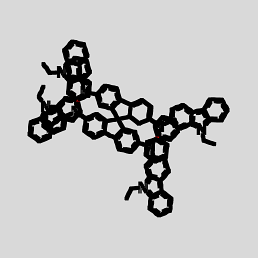 CCn1c2ccccc2c2ccc(N(C3=CC=C4c5ccc(N(c6ccccc6)c6ccc7c8ccccc8n(CC)c7c6)cc5C5(c6cc(N(c7ccccc7)c7ccc8c9ccccc9n(CC)c8c7)ccc6-c6ccc(N(c7ccccc7)c7ccc8c9ccccc9n(CC)c8c7)cc65)C4C3)c3ccccc3)cc21